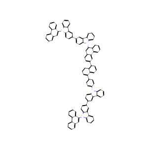 c1ccc2c(c1)cc(-n1c3ccccc3c3cc(-c4ccc5c(c4)c4ccccc4n5-c4ccc(-c5cccc6c(-c7ccc8cc(-n9c%10ccccc%10c%10cc(-c%11ccc%12c(c%11)c%11ccccc%11n%12-c%11cc%12ccccc%12c%12ccccc%11%12)ccc%109)c9ccccc9c8c7)cccc56)cc4)ccc31)c1ccccc12